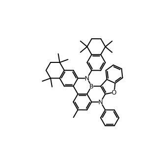 Cc1cc2c3c(c1)N(c1ccccc1)c1oc4ccccc4c1B3N(c1ccc3c(c1)C(C)(C)CCC3(C)C)c1cc3c(cc1-2)C(C)(C)CCC3(C)C